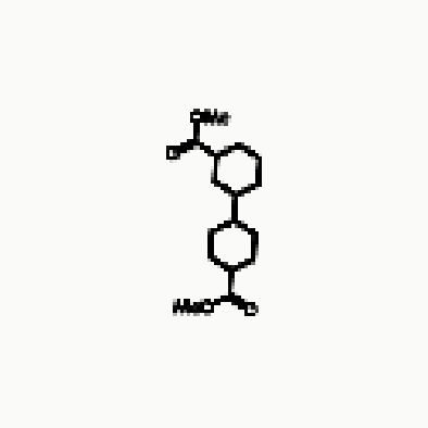 COC(=O)C1CCC(C2CCCC(C(=O)OC)C2)CC1